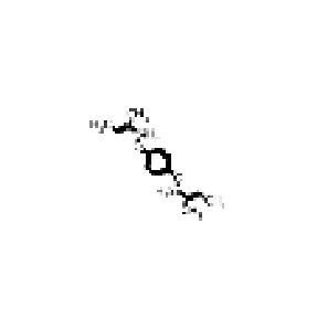 CC=C(C)[SiH2]Oc1ccc(O[SiH2]C(C)=CC)cc1